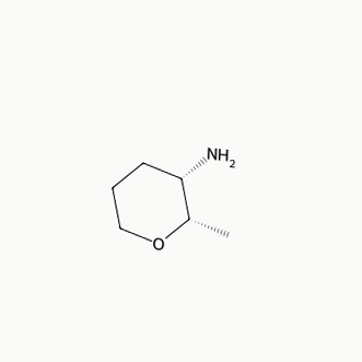 C[C@@H]1OCCC[C@@H]1N